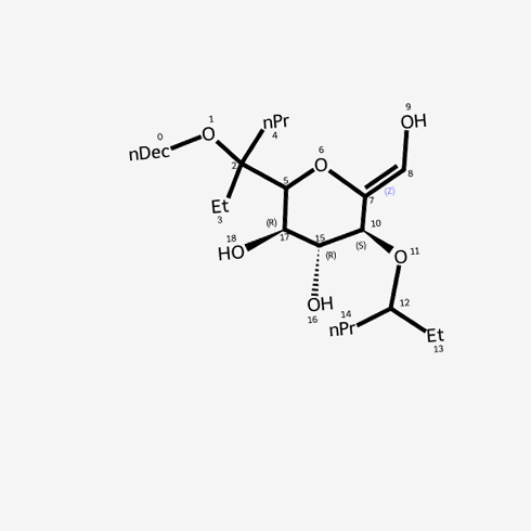 CCCCCCCCCCOC(CC)(CCC)C1O/C(=C\O)[C@@H](OC(CC)CCC)[C@H](O)[C@H]1O